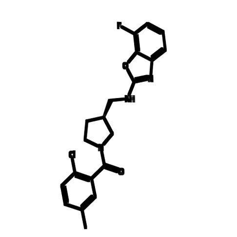 Cc1ccc(Cl)c(C(=O)N2CC[C@@H](CNc3nc4cccc(F)c4o3)C2)c1